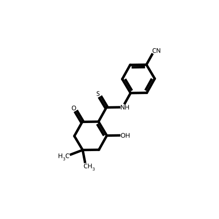 CC1(C)CC(=O)C(C(=S)Nc2ccc(C#N)cc2)=C(O)C1